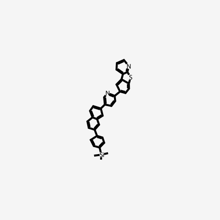 C[Si](C)(C)c1ccc(-c2ccc3ccc(-c4ccc(-c5ccc6sc7ncccc7c6c5)nc4)cc3c2)cc1